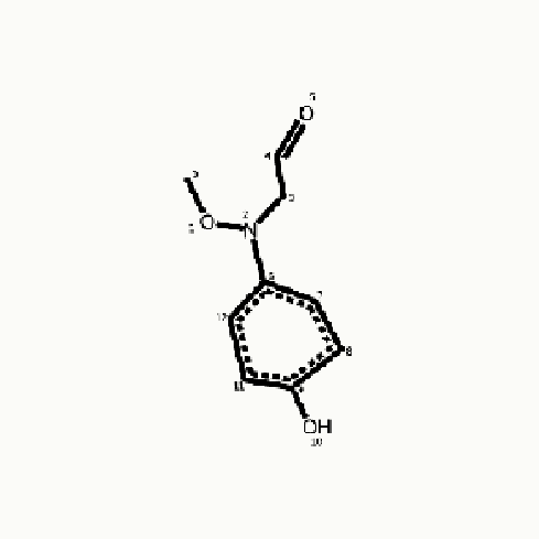 CON(C[C]=O)c1ccc(O)cc1